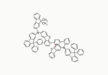 CC1(C)c2ccccc2-c2ccc(N(c3ccc4c(c3)C(c3ccccc3)(c3ccccc3)c3ccccc3-4)c3ccc4sc5c(-c6ccc(-c7ccccc7N(c7ccc8c(c7)C(c7ccccc7)(c7ccccc7)c7ccccc7-8)c7ccc8sc9ccccc9c8c7)cc6)cccc5c4c3)cc21